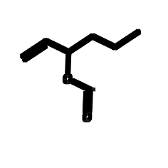 C=CC(CCC)O[C]=O